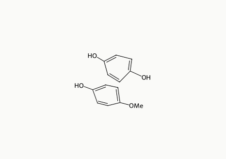 COc1ccc(O)cc1.Oc1ccc(O)cc1